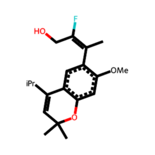 COc1cc2c(cc1/C(C)=C(/F)CO)C(C(C)C)=CC(C)(C)O2